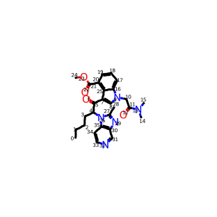 CCCCC(C(=O)c1cn(CC(=O)N(C)C)c2cccc(C(=O)OC)c12)n1c(C)nc2cnccc21